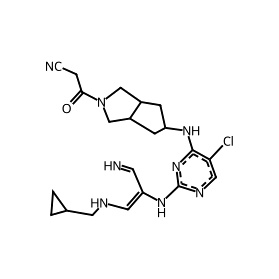 N#CCC(=O)N1CC2CC(Nc3nc(N/C(C=N)=C/NCC4CC4)ncc3Cl)CC2C1